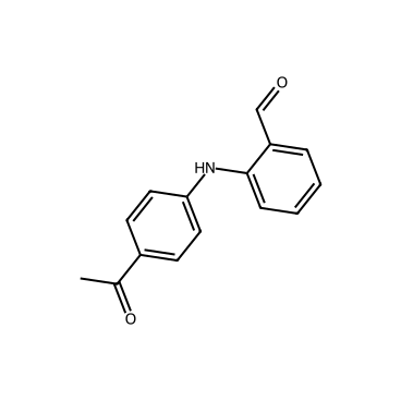 CC(=O)c1ccc(Nc2ccccc2C=O)cc1